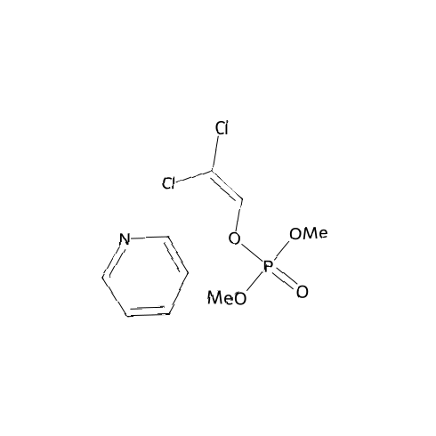 COP(=O)(OC)OC=C(Cl)Cl.c1ccncc1